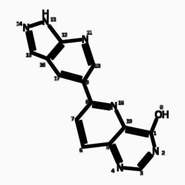 Oc1ncnc2ccc(-c3cnc4[nH]ncc4c3)nc12